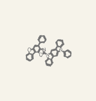 c1ccc(-c2cc3oc4ccccc4c3c3oc(-n4c5ccccc5c5cc6c(cc54)c4ccccc4n6-c4ccccc4)nc23)cc1